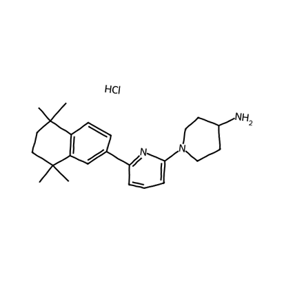 CC1(C)CCC(C)(C)c2cc(-c3cccc(N4CCC(N)CC4)n3)ccc21.Cl